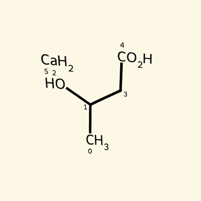 CC(O)CC(=O)O.[CaH2]